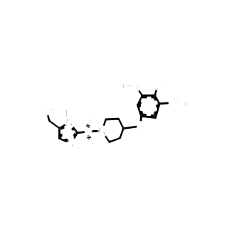 CC(C)(C)c1cc(SC2CCN(S(=O)(=O)c3ncc(CO)[nH]3)CC2)cc(C(C)(C)C)c1O